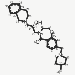 O=C1c2ccc(CN3CCC(F)CC3)cc2OCCN1C[C@H](O)CN1CCc2ccccc2C1